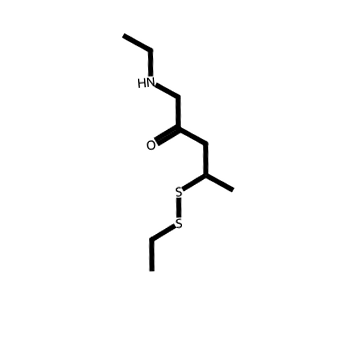 CCNCC(=O)CC(C)SSCC